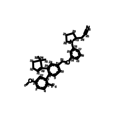 COc1ccc(F)c(-c2ccc(COc3cccc(N4CCCC4CC#N)c3)cc2C2=CCCC2(C)C)c1